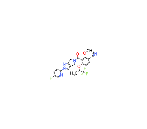 COc1c(C#N)ccc(OC(C)C(F)(F)F)c1C(=O)N1Cc2cn(-c3ccc(F)cn3)nc2C1